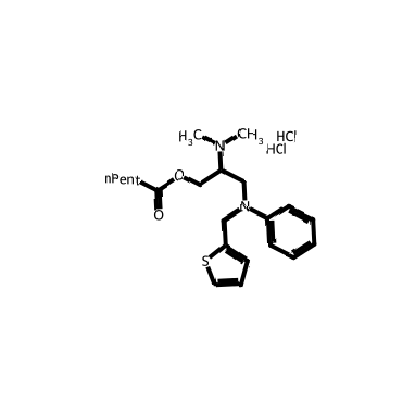 CCCCCC(=O)OCC(CN(Cc1cccs1)c1ccccc1)N(C)C.Cl.Cl